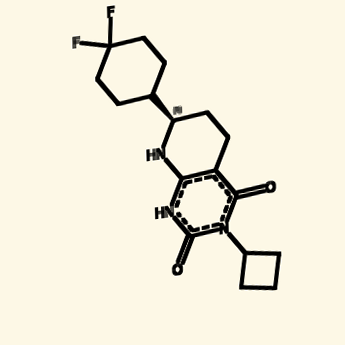 O=c1[nH]c2c(c(=O)n1C1CCC1)CC[C@H](C1CCC(F)(F)CC1)N2